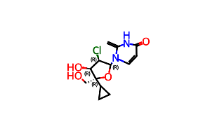 C=C1NC(=O)C=CN1[C@@H]1O[C@@](CO)(C2CC2)[C@@H](O)[C@H]1Cl